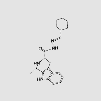 C[C@@H]1N[C@H](C(=O)N/N=C/C2CCCCC2)Cc2c1[nH]c1ccccc21